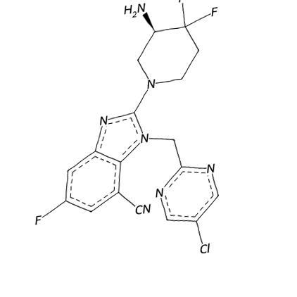 N#Cc1cc(F)cc2nc(N3CCC(F)(F)[C@H](N)C3)n(Cc3ncc(Cl)cn3)c12